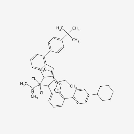 CCC1=Cc2c(-c3ccc(C4CCCCC4)cc3)cccc2[CH]1[Zr]([Cl])([Cl])([CH]1C(C(C)CC)=Cc2c(-c3ccc(C(C)(C)C)cc3)cccc21)[SiH](C)C